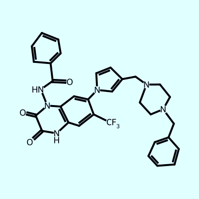 O=C(Nn1c(=O)c(=O)[nH]c2cc(C(F)(F)F)c(-n3ccc(CN4CCN(Cc5ccccc5)CC4)c3)cc21)c1ccccc1